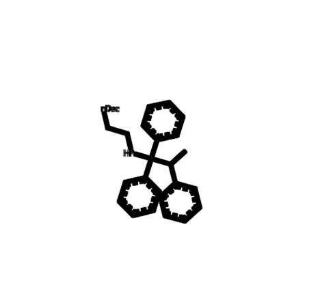 CCCCCCCCCCCCPC(c1ccccc1)(c1ccccc1)C(C)c1ccccc1